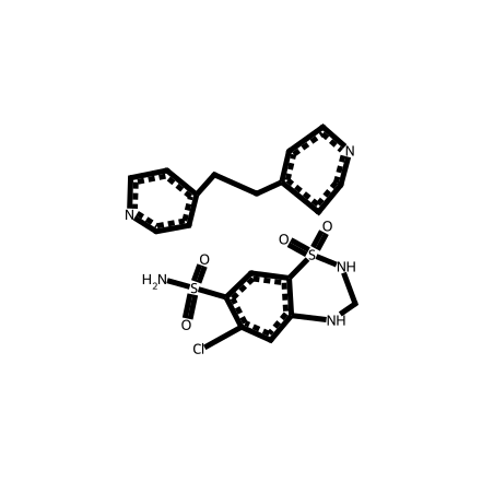 NS(=O)(=O)c1cc2c(cc1Cl)NCNS2(=O)=O.c1cc(CCc2ccncc2)ccn1